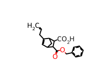 C=CCC1=CC2CC1C(C(=O)O)C2C(=O)OCc1ccccc1